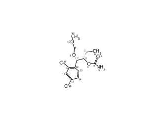 CC[C@H](OC(N)=O)[C@@H](OCOC)c1ccc(Cl)cc1Cl